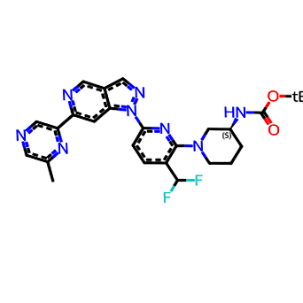 Cc1cncc(-c2cc3c(cn2)cnn3-c2ccc(C(F)F)c(N3CCC[C@H](NC(=O)OC(C)(C)C)C3)n2)n1